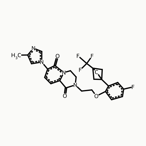 Cc1cn(-c2ccc3n(c2=O)CCN(CCOc2ccc(F)cc2C24CC(C(F)(F)F)(C2)C4)C3=O)cn1